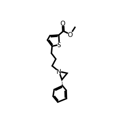 COC(=O)c1ccc(CCCN2C[C@@H]2c2ccccc2)s1